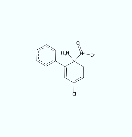 NC1([N+](=O)[O-])CC=C(Cl)C=C1c1ccccc1